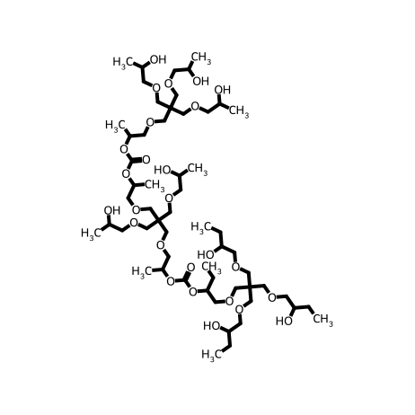 CCC(O)COCC(COCC(O)CC)(COCC(O)CC)COCC(CC)OC(=O)OC(C)COCC(COCC(C)O)(COCC(C)O)COCC(C)OC(=O)OC(C)COCC(COCC(C)O)(COCC(C)O)COCC(C)O